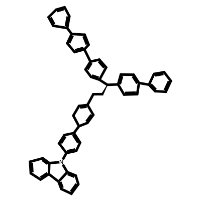 C1=CC(c2ccc(-n3c4ccccc4c4ccccc43)cc2)CC=C1CC[C@H](c1ccc(-c2ccccc2)cc1)c1ccc(-c2ccc(-c3ccccc3)cc2)cc1